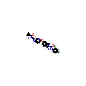 O=C(Nc1nc2ccc(Oc3ccc4cn(C(=O)Nc5ccc(F)cc5F)cc4c3)nc2s1)C1CC1